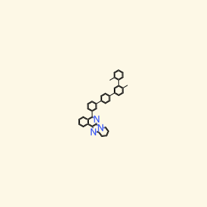 Cc1ccccc1-c1cc(-c2ccc(-c3cccc(-c4nc5c(nc6ccccn65)c5ccccc45)c3)cc2)ccc1C